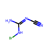 N#CN=C(N)NBr